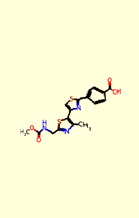 COC(=O)NCc1nc(C)c(-c2csc(-c3ccc(C(=O)O)cc3)n2)s1